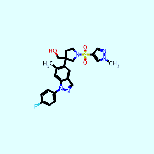 Cc1cc2c(cnn2-c2ccc(F)cc2)cc1C1(CO)CCN(S(=O)(=O)c2cnn(C)c2)C1